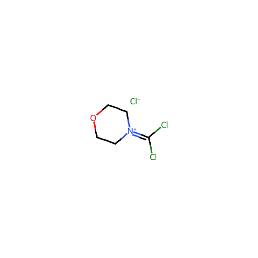 ClC(Cl)=[N+]1CCOCC1.[Cl-]